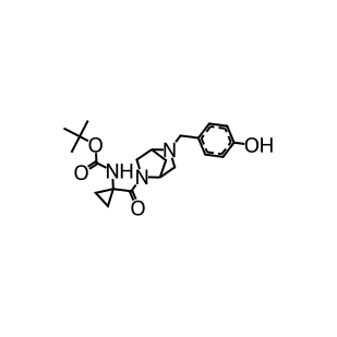 CC(C)(C)OC(=O)NC1(C(=O)N2CC3CC2CN3Cc2ccc(O)cc2)CC1